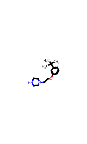 CC(C)(C)c1cccc(OCCN2CCNCC2)c1